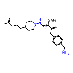 C=C(C)CCCC1CCN(N/C=C(\SC)C(=C)Cc2ccc(CN)cc2)CC1